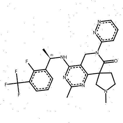 Cc1nc(N[C@H](C)c2cccc(C(F)(F)F)c2F)c2c(n1)C1(CCN(C)C1)C(=O)N(c1cccnn1)C2